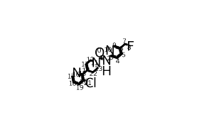 O=C(Nc1ccc(CF)cn1)N1CC=C(c2ncccc2Cl)CC1